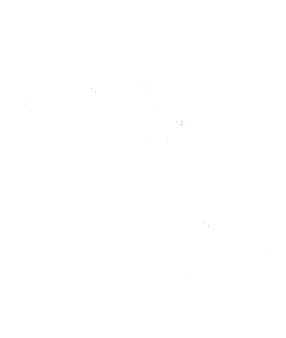 CCCN(CCC)S(=O)(=O)c1ccc(C(=O)N[C@H](C(=O)N2CCC[C@H]2C(=O)N[C@H](C=O)CC(=O)O)C(C)C)cc1